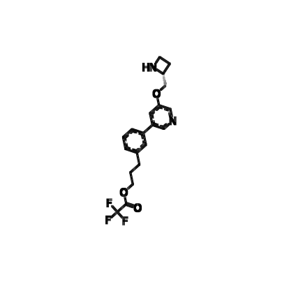 O=C(OCCCc1cccc(-c2cncc(OC[C@H]3CCN3)c2)c1)C(F)(F)F